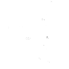 Cl.Cl.c1ccc(C(=NOCc2ncc[nH]2)c2cc3ccncc3[nH]2)cc1